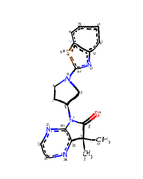 CC1(C)C(=O)N([C@H]2CCN(c3nc4ccccc4s3)C2)c2nccnc21